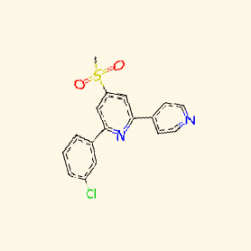 CS(=O)(=O)c1cc(-c2ccncc2)nc(-c2cccc(Cl)c2)c1